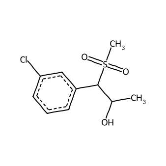 CC(O)C(c1cccc(Cl)c1)S(C)(=O)=O